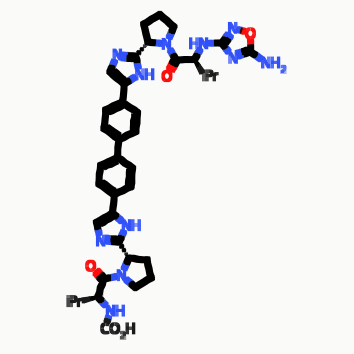 CC(C)[C@H](NC(=O)O)C(=O)N1CCC[C@H]1c1ncc(-c2ccc(-c3ccc(-c4cnc([C@@H]5CCCN5C(=O)[C@@H](Nc5noc(N)n5)C(C)C)[nH]4)cc3)cc2)[nH]1